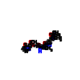 COc1cc2c(cc1OCCCC(=O)Nc1cc(C(=O)Nc3ccc(-c4cc(C(=O)N(C)C)n(C)c4)cc3)n(C)c1)N=C[C@@H]1CCCN1C2=O